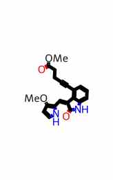 COC(=O)CCC#Cc1cccc2c1C(=Cc1[nH]ccc1OC)C(=O)N2